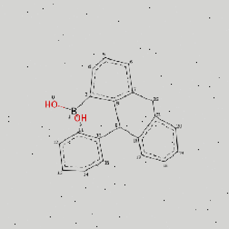 OB(O)c1cccc2c1C(c1ccccc1)c1ccccc1C2